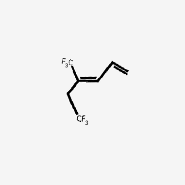 C=CC=C(CC(F)(F)F)C(F)(F)F